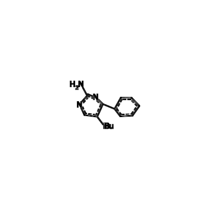 CCC(C)c1cnc(N)nc1-c1ccccc1